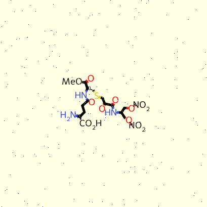 COC(=O)[C@H](CSCC(=O)C(=O)NC(CO[N+](=O)[O-])CO[N+](=O)[O-])NC(=O)CC[C@H](N)C(=O)O